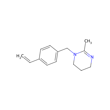 C=Cc1ccc(CN2CCCN=C2C)cc1